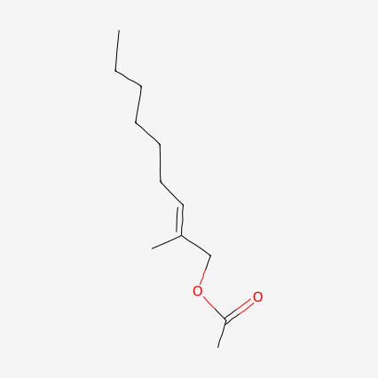 CCCCCC/C=C(\C)COC(C)=O